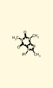 Cc1nc2c(c(=O)n(C)c(=O)n2C)n1C(C)C